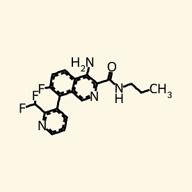 CCCNC(=O)c1ncc2c(-c3cccnc3C(F)F)c(F)ccc2c1N